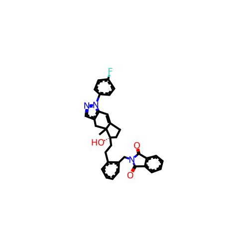 CC12Cc3cnn(-c4ccc(F)cc4)c3C=C1CC[C@@]2(O)CCc1ccccc1CN1C(=O)c2ccccc2C1=O